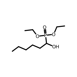 CCCCCC(O)P(=O)(OCC)OCC